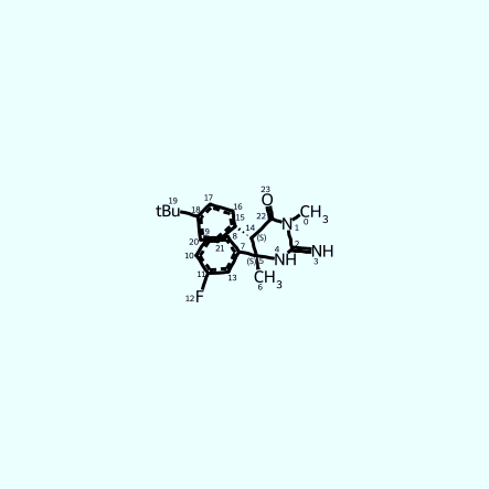 CN1C(=N)N[C@](C)(c2cccc(F)c2)[C@H](c2ccc(C(C)(C)C)cc2)C1=O